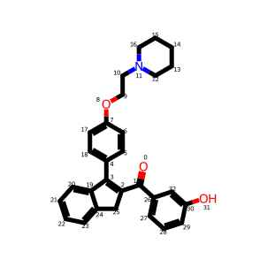 O=C(C1=C(c2ccc(OCCN3CCCCC3)cc2)c2ccccc2C1)c1cccc(O)c1